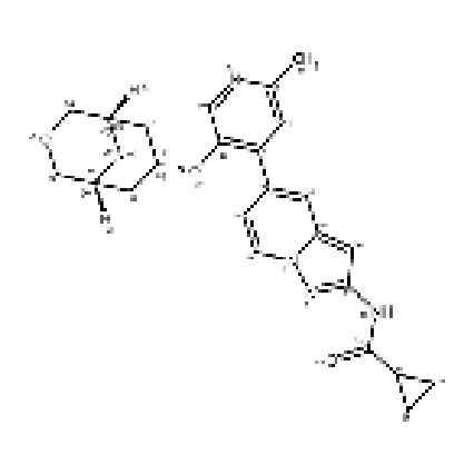 Cc1cc(-c2ccn3nc(NC(=O)C4CC4)cc3c2)c(O[C@H]2C[C@H]3COC[C@@H](C2)N3)cn1